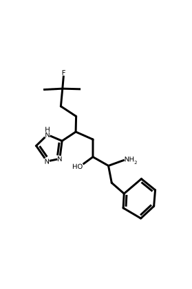 CC(C)(F)CCC(CC(O)C(N)Cc1ccccc1)c1nnc[nH]1